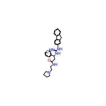 N=C(Nc1ccc2c(c1)Cc1ccccc1-2)NC(CC(=O)NCCN1CCCC1)c1ccccc1